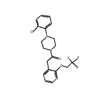 O=C(Cc1ccccc1OCC(F)(F)F)N1CCN(c2ccccc2Cl)CC1